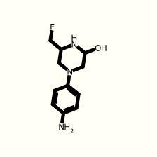 Nc1ccc(N2CC(O)NC(CF)C2)cc1